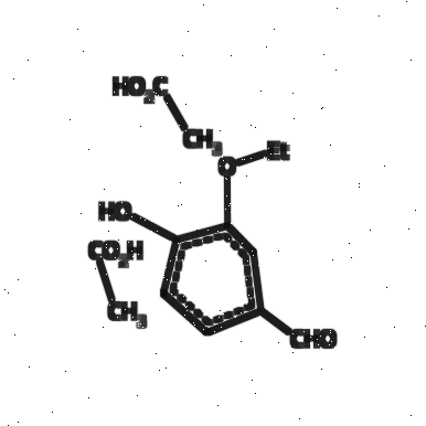 CC(=O)O.CC(=O)O.CCOc1cc(C=O)ccc1O